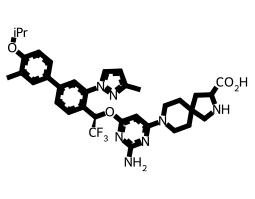 Cc1ccn(-c2cc(-c3ccc(OC(C)C)c(C)c3)ccc2[C@@H](Oc2cc(N3CCC4(CC3)CNC(C(=O)O)C4)nc(N)n2)C(F)(F)F)n1